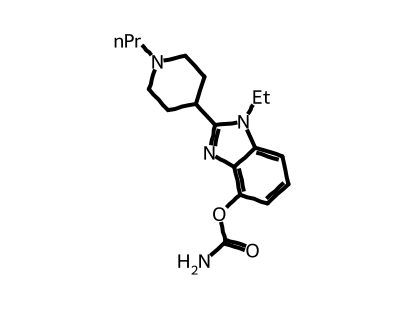 CCCN1CCC(c2nc3c(OC(N)=O)cccc3n2CC)CC1